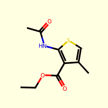 CCOC(=O)c1c(C)[c]sc1NC(C)=O